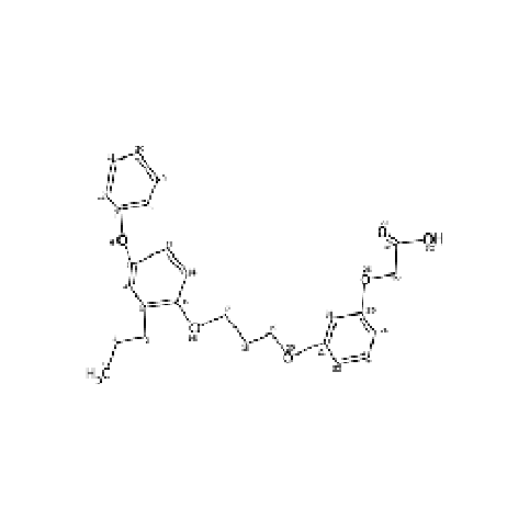 CCCc1cc(Oc2ccccc2)ccc1OCCCOc1cccc(OCC(=O)O)c1